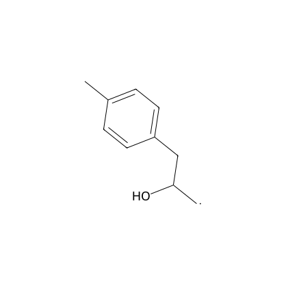 [CH2]C(O)Cc1ccc(C)cc1